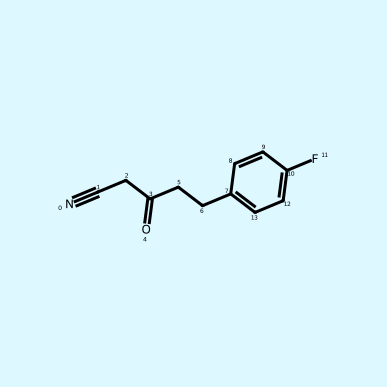 N#CCC(=O)CCc1ccc(F)cc1